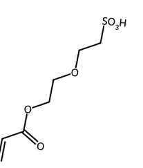 C=CC(=O)OCCOCCS(=O)(=O)O